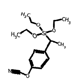 CCO[Si](OCC)(OCC)C(C)c1ccc(OC#N)cc1